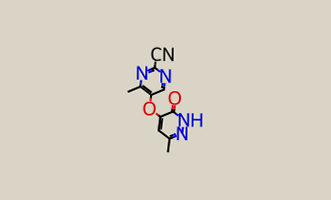 Cc1cc(Oc2cnc(C#N)nc2C)c(=O)[nH]n1